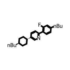 CCCCc1ccc(-c2ccc([C@H]3CC[C@H](CCCC)CC3)cn2)c(F)c1